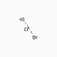 OCCCCCCCC(Cl)CCCCCCCO